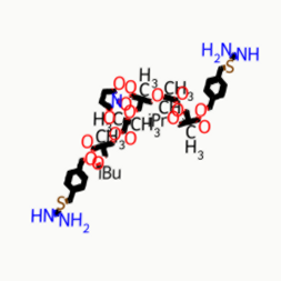 CCC(C)OCC(C)(COC(=O)C(C)(C)OCC(C)(COC(C)(C)C(=O)OCC(C)(COC(C)C)C(=O)OCc1ccc(CSC(=N)N)cc1)C(=O)ON1C(=O)CCC1=O)C(=O)OCc1ccc(CSC(=N)N)cc1